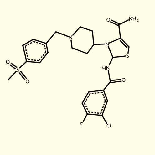 CS(=O)(=O)c1ccc(CN2CCC(N3C(C(N)=O)=CSC3NC(=O)c3ccc(F)c(Cl)c3)CC2)cc1